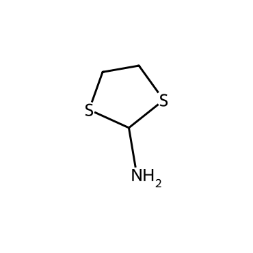 NC1SCCS1